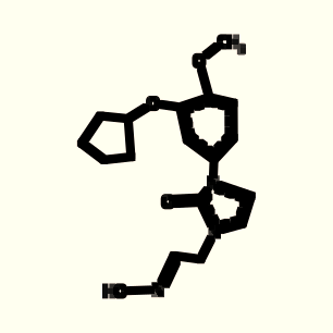 COc1ccc(-n2ccn(CC=NO)c2=O)cc1OC1CCCC1